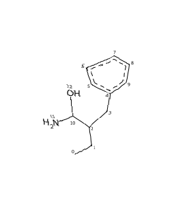 CCC(Cc1ccccc1)C(N)O